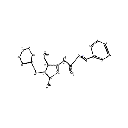 O=C(/C=C/c1ccccc1)NC1=CC(O)N(CC2CCOCC2)C1O